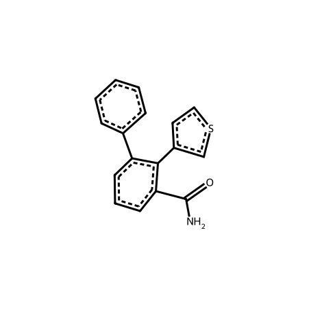 NC(=O)c1cccc(-c2ccccc2)c1-c1ccsc1